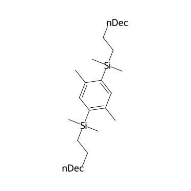 CCCCCCCCCCCC[Si](C)(C)c1cc(C)c([Si](C)(C)CCCCCCCCCCCC)cc1C